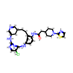 O=C(CC1CCN(c2nccs2)CC1)Nc1ccc2cc1CCC1C=NC=C(C1)Nc1ncc(Cl)c(n1)N2